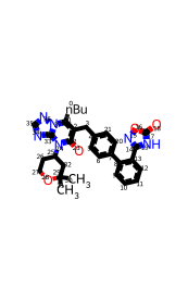 CCCCc1c(Cc2ccc(-c3ccccc3-c3noc(=O)[nH]3)cc2)c(=O)n(C2CCOC(C)(C)C2)c2ncnn12